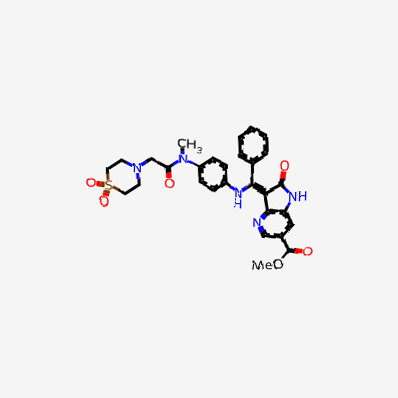 COC(=O)c1cnc2c(c1)NC(=O)/C2=C(/Nc1ccc(N(C)C(=O)CN2CCS(=O)(=O)CC2)cc1)c1ccccc1